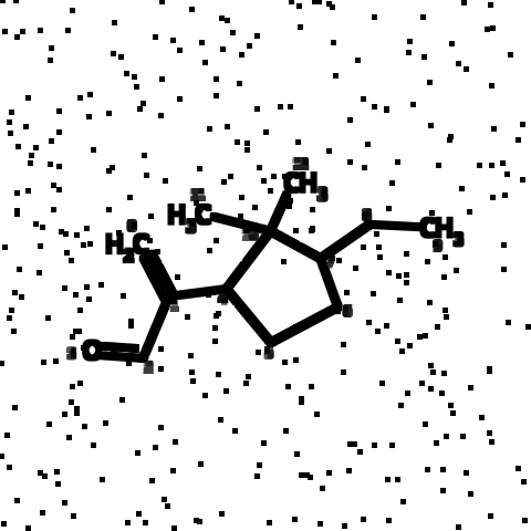 C=C(C=O)C1CCC(CC)C1(C)C